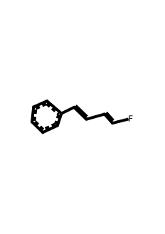 FC=CC=Cc1ccccc1